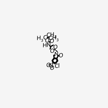 CC(C)(C)OC(=O)N[C@H]1CO[C@@H](CN2Cc3cc([N+](=O)[O-])c(Cl)cc3C2=O)OC1